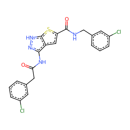 O=C(Cc1cccc(Cl)c1)Nc1n[nH]c2sc(C(=O)NCc3cccc(Cl)c3)cc12